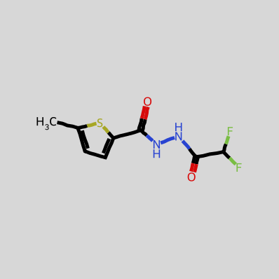 Cc1ccc(C(=O)NNC(=O)C(F)F)s1